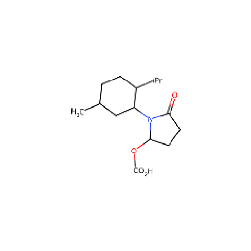 CC1CCC(C(C)C)C(N2C(=O)CCC2OC(=O)O)C1